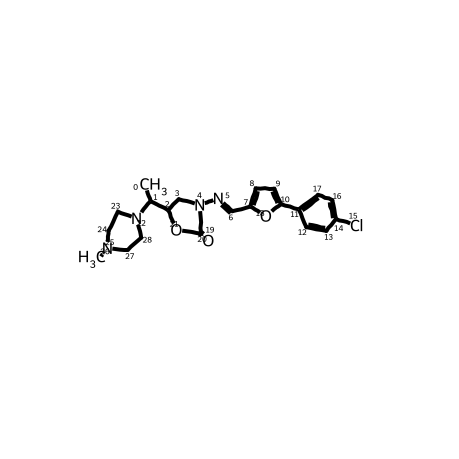 CC(C1CN(N=Cc2ccc(-c3ccc(Cl)cc3)o2)C(=O)O1)N1CCN(C)CC1